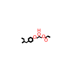 C=CC(=C)Cc1ccc(OCC(O)COC(=O)C=C)cc1